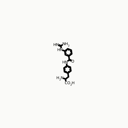 N=C(N)Nc1cccc(C(=O)Nc2ccc(CC(N)C(=O)O)cc2)c1